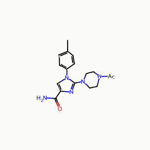 CC(=O)N1CCN(c2nc(C(N)=O)cn2-c2ccc(C)cc2)CC1